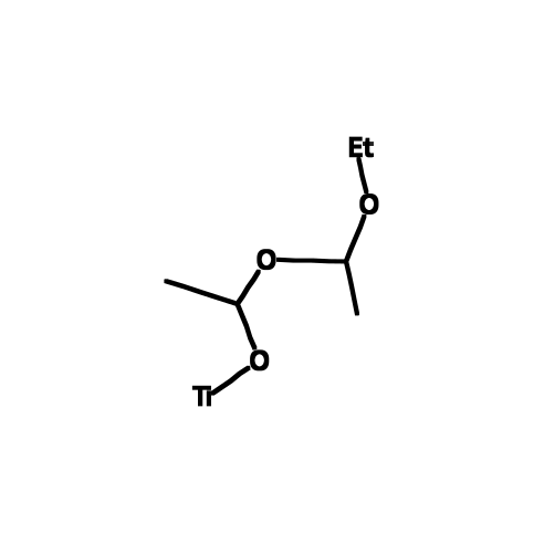 CCOC(C)OC(C)[O][Ti]